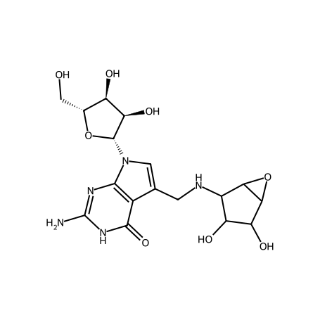 Nc1nc2c(c(CNC3C(O)C(O)C4OC34)cn2[C@@H]2O[C@H](CO)[C@@H](O)[C@H]2O)c(=O)[nH]1